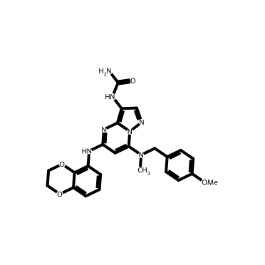 COc1ccc(CN(C)c2cc(Nc3cccc4c3OCCO4)nc3c(NC(N)=O)cnn23)cc1